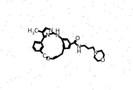 Cc1cnc2nc1-c1cccc(c1)CO/C=C\Cc1cc(cc(C(=O)NCCCN3CCOCC3)c1)N2